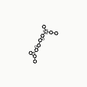 c1ccc(-c2ccc(-c3nc(-c4ccccc4)nc(-c4ccc5c(c4)oc4cc(-c6ccc7c(c6)oc6cc(-n8c9ccccc9c9cc(-c%10ccccc%10)ccc98)ccc67)ccc45)n3)cc2)cc1